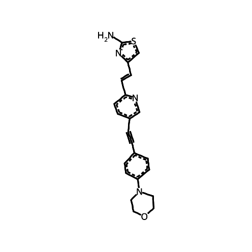 Nc1nc(/C=C/c2ccc(C#Cc3ccc(N4CCOCC4)cc3)cn2)cs1